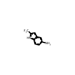 Nc1ccc2[nH]c(C(F)(F)F)cc2c1